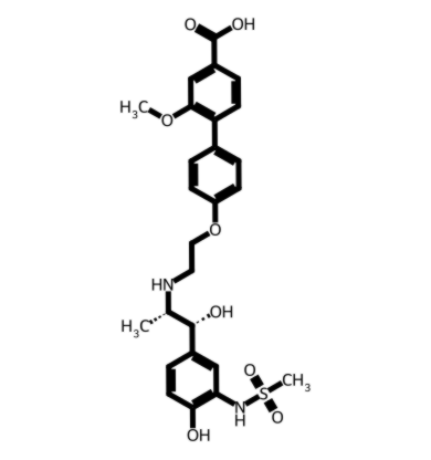 COc1cc(C(=O)O)ccc1-c1ccc(OCCN[C@@H](C)[C@H](O)c2ccc(O)c(NS(C)(=O)=O)c2)cc1